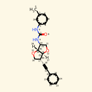 Cc1cccc(NC(=O)N[C@H]2CO[C@@H]3[C@@H]2OC[C@H]3C#Cc2ccccc2)c1